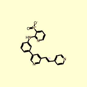 O=[N+]([O-])c1cccnc1Nc1cccc(-c2cncc(/C=C/c3ccncc3)c2)c1